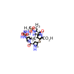 CC(NS(C)(=O)=O)[C@H]1C(=O)N2C(C(=O)O)=C(S[C@@H]3CN[C@H](C(=O)N4CC[C@@H](NS(N)(=O)=O)C4)C3)[C@H](C)[C@H]12